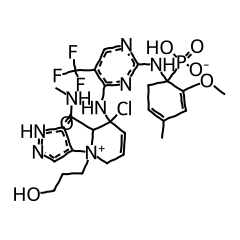 CNC(=O)C1C(Cl)(Nc2nc(NC3(P(=O)([O-])O)CC=C(C)C=C3OC)ncc2C(F)(F)F)C=CC[N+]1(CCCO)c1cn[nH]c1